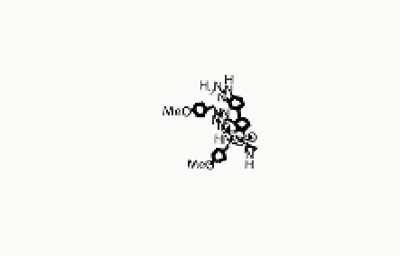 COc1ccc(CNS(=O)(=O)c2c(S(=O)(=O)C3CNC3)ccc(-c3ccc4[nH]c(N)nc4c3)c2-c2nnn(Cc3ccc(OC)cc3)n2)cc1